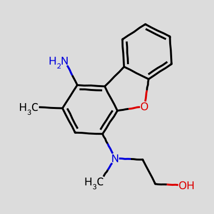 Cc1cc(N(C)CCO)c2oc3ccccc3c2c1N